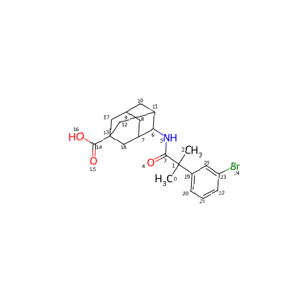 CC(C)(C(=O)NC1C2CC3CC1CC(C(=O)O)(C3)C2)c1cccc(Br)c1